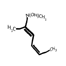 C/C=C\C=C(/C)N(C)O